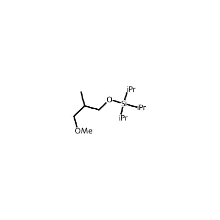 COCC(C)CO[Si](C(C)C)(C(C)C)C(C)C